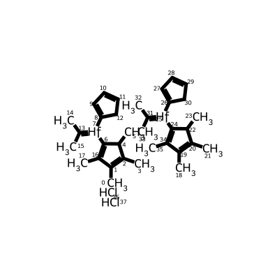 CC1=C(C)C(C)[C]([Hf]([C]2=CC=CC2)=[C](C)C)=C1C.CC1=C(C)C(C)[C]([Hf]([C]2=CC=CC2)=[C](C)C)=C1C.Cl.Cl